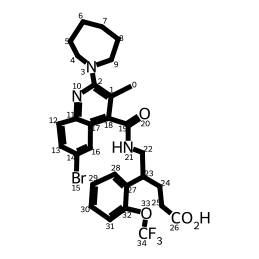 Cc1c(N2CCCCCC2)nc2ccc(Br)cc2c1C(=O)NCC(CCC(=O)O)c1ccccc1OC(F)(F)F